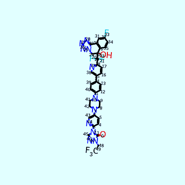 O=c1n(-c2ccc(N3CCN(c4ccc(-c5ccc(C(F)(F)[C@]6(O)Cn7nnnc7-c7cc(F)ccc76)nc5)cc4)CC3)cn2)cnn1CC(F)(F)F